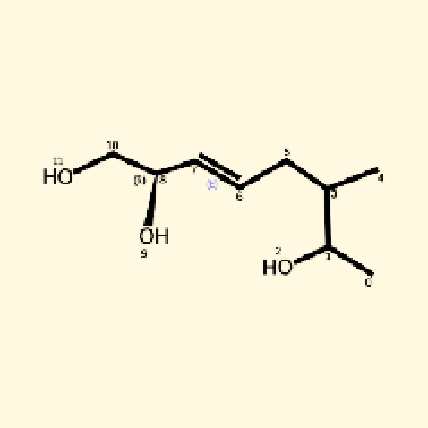 CC(O)C(C)C/C=C/[C@@H](O)CO